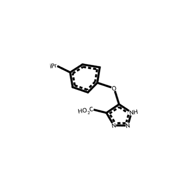 CC(C)c1ccc(Oc2[nH]nnc2C(=O)O)cc1